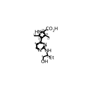 CC[C@@H](CO)Nc1nccc(-c2c(C)[nH]c(C(=O)O)c2C)n1